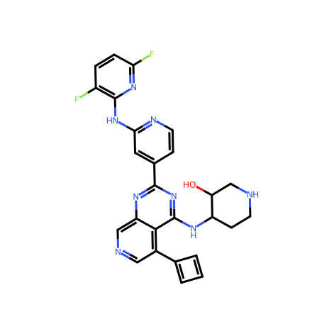 OC1CNCCC1Nc1nc(-c2ccnc(Nc3nc(F)ccc3F)c2)nc2cncc(C3=CC=C3)c12